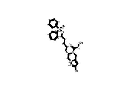 CC(C)(C)OC(=O)N1Cc2cc(Br)nn2C[C@H]1CCCCCO[Si](c1ccccc1)(c1ccccc1)C(C)(C)C